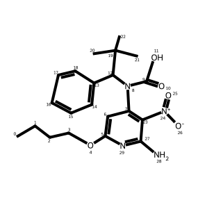 CCCCOc1cc(N(C(=O)O)C(c2ccccc2)C(C)(C)C)c([N+](=O)[O-])c(N)n1